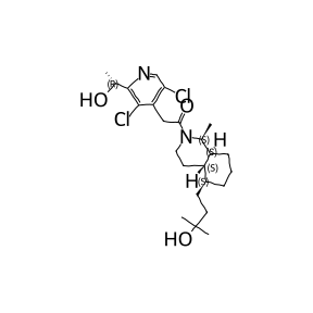 C[C@@H](O)c1ncc(Cl)c(CC(=O)N2CC[C@H]3[C@H](CCC(C)(C)O)CCC[C@@H]3[C@@H]2C)c1Cl